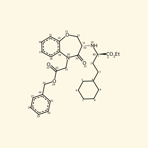 CCOC(=O)[C@@H](CCC1CCCCC1)N[C@H]1COc2ccccc2N(CC(=O)OCc2ccccc2)C1=O